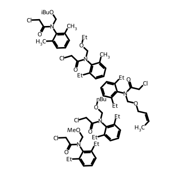 C/C=C\COCN(C(=O)CCl)c1c(CC)cccc1CC.CCCCOCN(C(=O)CCl)c1c(CC)cccc1CC.CCOCN(C(=O)CCl)c1c(C)cccc1CC.CCc1cccc(CC)c1N(COC)C(=O)CCl.Cc1cccc(C)c1N(COCC(C)C)C(=O)CCl